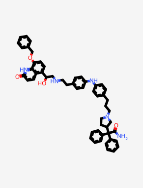 NC(=O)C(c1ccccc1)(c1ccccc1)C1CCN(CCCc2ccc(Nc3ccc(CCNCC(O)c4ccc(OCc5ccccc5)c5[nH]c(=O)ccc45)cc3)cc2)C1